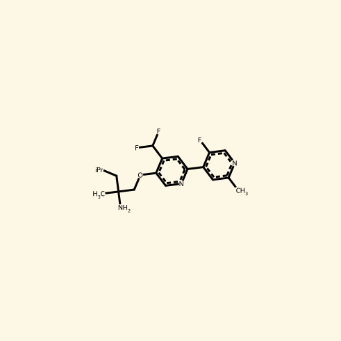 Cc1cc(-c2cc(C(F)F)c(OCC(C)(N)CC(C)C)cn2)c(F)cn1